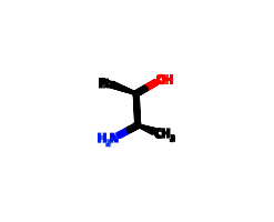 CC[C@@H](O)[C@@H](C)N